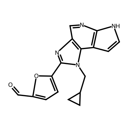 O=Cc1ccc(-c2nc3cnc4[nH]ccc4c3n2CC2CC2)o1